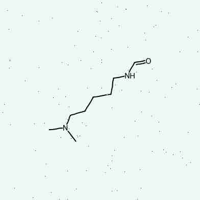 CN(C)CCCCCNC=O